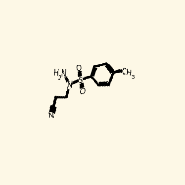 Cc1ccc(S(=O)(=O)N(N)CCC#N)cc1